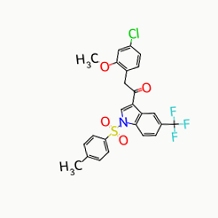 COc1cc(Cl)ccc1CC(=O)c1cn(S(=O)(=O)c2ccc(C)cc2)c2ccc(C(F)(F)F)cc12